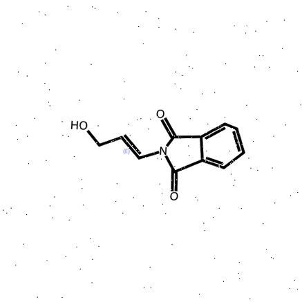 O=C1c2ccccc2C(=O)N1/C=C/CO